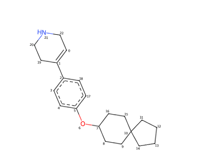 C1=C(c2ccc(OC3CCC4(CCCC4)CC3)cc2)CCNC1